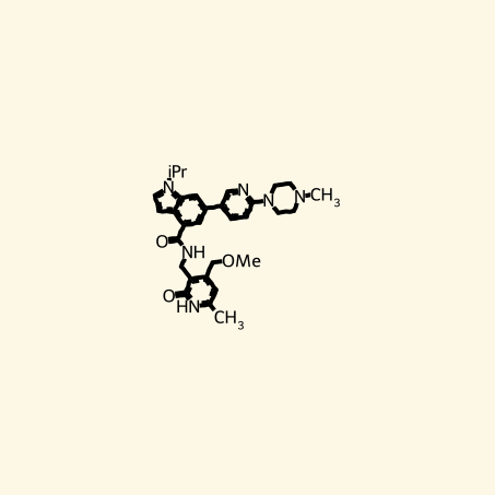 COCc1cc(C)[nH]c(=O)c1CNC(=O)c1cc(-c2ccc(N3CCN(C)CC3)nc2)cc2c1ccn2C(C)C